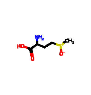 C[S+]([O-])CCC(N)C(=O)O